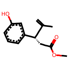 C=C(C)[C@H](CC(=O)OC)c1cccc(O)c1